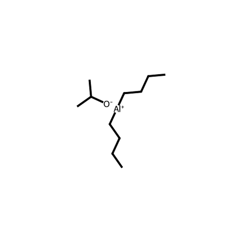 CC(C)[O-].CCC[CH2][Al+][CH2]CCC